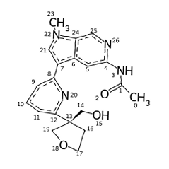 CC(=O)Nc1cc2c(-c3cccc([C@]4(CO)CCOC4)n3)cn(C)c2cn1